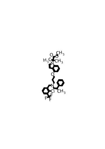 COC(=O)C(C)(C)n1ccc2c(OCCCN(Cc3cccc(C(F)(F)F)c3Cl)C[C@H](C)c3ccccc3)cccc21